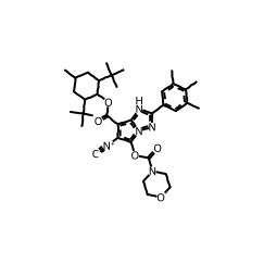 [C-]#[N+]c1c(C(=O)OC2C(C(C)(C)C)CC(C)CC2C(C)(C)C)c2[nH]c(-c3cc(C)c(C)c(C)c3)nn2c1OC(=O)N1CCOCC1